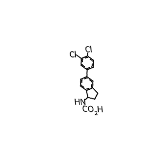 O=C(O)NC1CCc2cc(-c3ccc(Cl)c(Cl)c3)ccc21